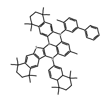 Cc1cc2c3c(c1)N(c1cc(-c4ccccc4)ccc1C)c1cc4c(cc1B3c1sc3cc5c(cc3c1N2C1=CC2C(C=C1)C(C)(C)CCC2(C)C)C(C)(C)CCC5(C)C)C(C)(C)CCC4(C)C